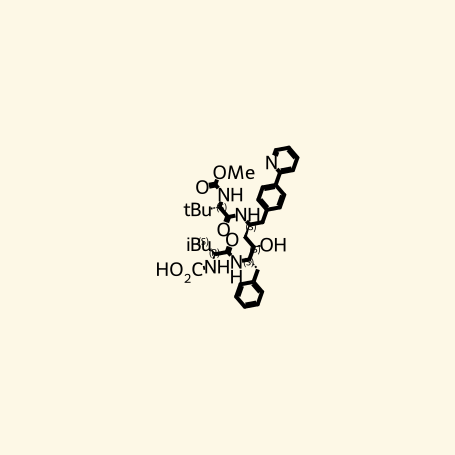 CC[C@H](C)[C@@H](NC(=O)O)C(=O)N[C@@H](Cc1ccccc1)[C@@H](O)C[C@H](Cc1ccc(-c2ccccn2)cc1)NC(=O)[C@@H](NC(=O)OC)C(C)(C)C